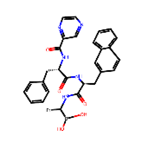 CC(C)C(NC(=O)[C@H](Cc1ccc2ccccc2c1)NC(=O)[C@H](Cc1ccccc1)NC(=O)c1cnccn1)B(O)O